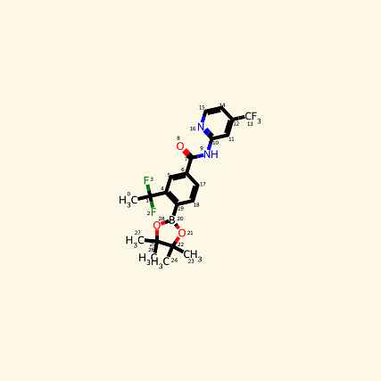 CC(F)(F)c1cc(C(=O)Nc2cc(C(F)(F)F)ccn2)ccc1B1OC(C)(C)C(C)(C)O1